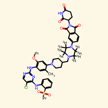 [2H]C1([2H])N(CC2CCN(c3cc(OC(C)C)c(Nc4ncc(Cl)c(Nc5ccccc5S(=O)(=O)C(C)C)n4)cc3C)CC2)C([2H])([2H])C([2H])([2H])N(c2ccc3c(c2)C(=O)N(C2CCC(=O)NC2=O)C3=O)C1([2H])[2H]